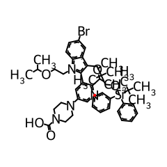 COC(C)c1ncc(N2CCN(C(=O)O)CC2)cc1-c1c(CC(C)(C)CO[Si](c2ccccc2)(c2ccccc2)C(C)(C)C)c2cc(Br)ccc2n1CCOC(C)C